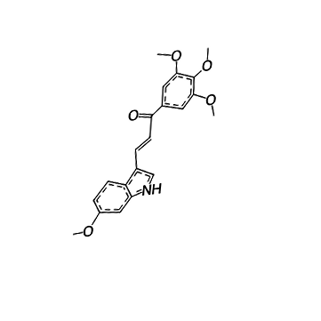 COc1ccc2c(C=CC(=O)c3cc(OC)c(OC)c(OC)c3)c[nH]c2c1